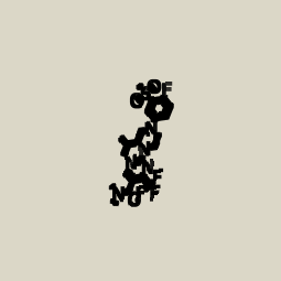 CC(C)C1CN(c2ccc(F)c(S(C)(=O)=O)c2)CCN1c1ncc(C(=O)N(C)C)c(C(F)(F)F)n1